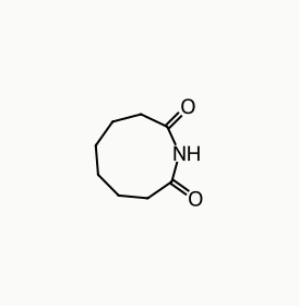 O=C1CCCCCCC(=O)N1